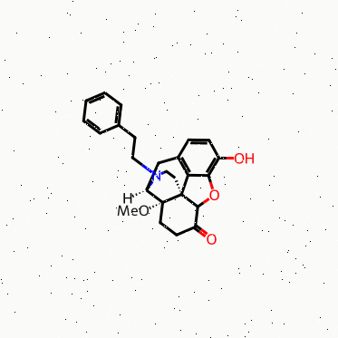 CO[C@@]12CCC(=O)C3Oc4c(O)ccc5c4[C@@]31CCN(CCc1ccccc1)[C@@H]2C5